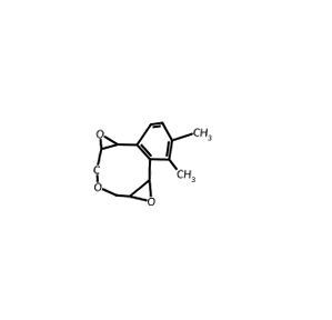 Cc1ccc2c(c1C)C1OC1COCC1OC21